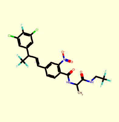 CC(NC(=O)c1ccc(/C=C/C(c2cc(Cl)c(F)c(Cl)c2)C(F)(F)F)cc1[N+](=O)[O-])C(=O)NCC(F)(F)F